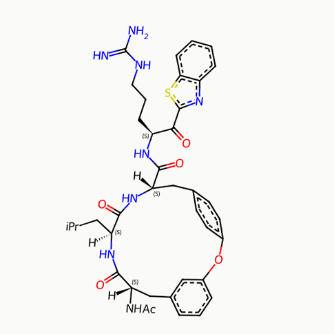 CC(=O)N[C@H]1Cc2cccc(c2)Oc2ccc(cc2)C[C@@H](C(=O)N[C@@H](CCCNC(=N)N)C(=O)c2nc3ccccc3s2)NC(=O)[C@H](CC(C)C)NC1=O